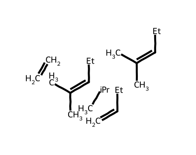 C=C.C=CCC.CC(C)C.CCC=C(C)C.CCC=C(C)C